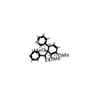 CCC(c1ccccc1)C1(OC)C(OC)=C(OC)C=[C]C1c1cccnc1